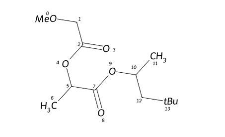 COCC(=O)OC(C)C(=O)OC(C)CC(C)(C)C